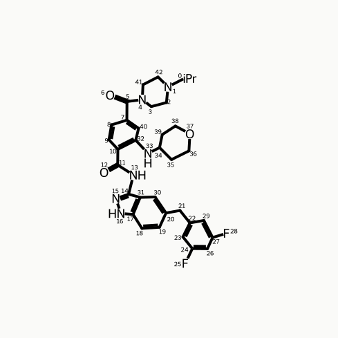 CC(C)N1CCN(C(=O)c2ccc(C(=O)Nc3n[nH]c4ccc(Cc5cc(F)cc(F)c5)cc34)c(NC3CCOCC3)c2)CC1